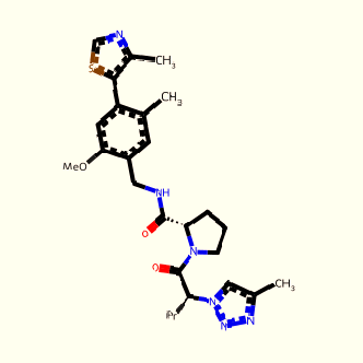 COc1cc(-c2scnc2C)c(C)cc1CNC(=O)[C@@H]1CCCN1C(=O)[C@H](C(C)C)n1cc(C)nn1